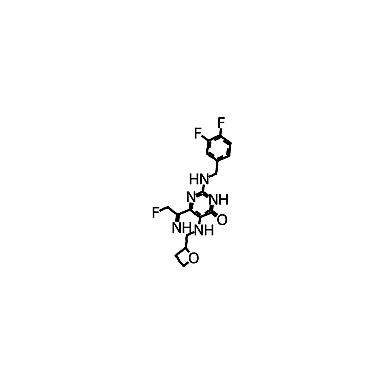 N=C(CF)c1nc(NCc2ccc(F)c(F)c2)[nH]c(=O)c1NCC1CCO1